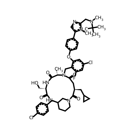 C[C@H]1C(=O)N[C@@H](CO)C(=O)N[C@@]2(Cc3ccc(Cl)cc3)CCCN(C2)C(=O)[C@H](CC2CC2)CC(=O)N1Cc1c(F)cc(Cl)cc1Oc1ccc(-c2cnc(CN(C)C(C)(C)C)n2C)cc1